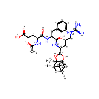 CC(=O)N[C@@H](CCC(=O)O)C(=O)N[C@@H](Cc1ccccc1)C(=O)N[C@@H](CCCNC(=N)N)B1OC2C[C@@H]3C[C@@H](C3(C)C)[C@]2(C)O1